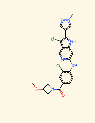 COC1CN(C(=O)c2ccc(Nc3cc4[nH]c(-c5cnn(C)c5)c(Cl)c4cn3)c(Cl)c2)C1